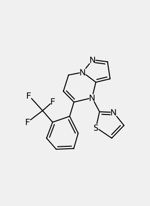 FC(F)(F)c1ccccc1C1=CCn2nccc2N1c1nccs1